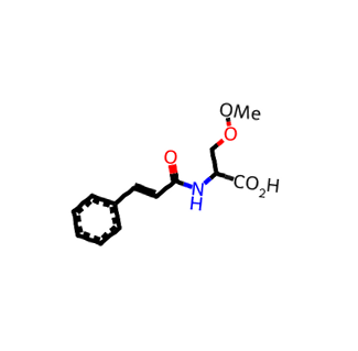 COOCC(NC(=O)C=Cc1ccccc1)C(=O)O